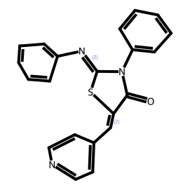 O=C1/C(=C/c2ccncc2)S/C(=N\c2ccccc2)N1c1ccccc1